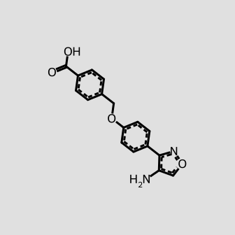 Nc1conc1-c1ccc(OCc2ccc(C(=O)O)cc2)cc1